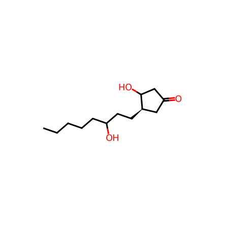 CCCCCC(O)CC[C@@H]1CC(=O)CC1O